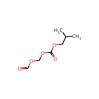 CC(C)COC(=O)OCOC=O